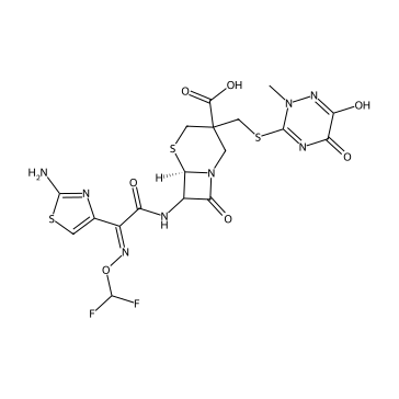 Cn1nc(O)c(=O)nc1SCC1(C(=O)O)CS[C@@H]2C(NC(=O)C(=NOC(F)F)c3csc(N)n3)C(=O)N2C1